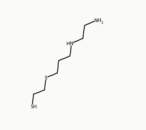 NCCNCCCSCCS